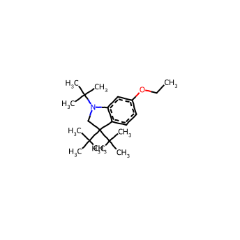 CCOc1ccc2c(c1)N(C(C)(C)C)CC2(C(C)(C)C)C(C)(C)C